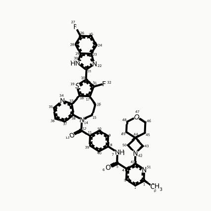 Cc1ccc(C(=O)Nc2ccc(C(=O)N3CCc4c(sc(-c5nc6ccc(F)cc6[nH]5)c4F)-c4ncccc43)cc2)c(N2CC3(CCOCC3)C2)n1